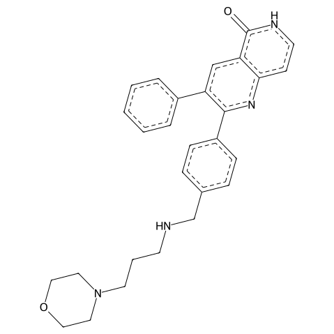 O=c1[nH]ccc2nc(-c3ccc(CNCCCN4CCOCC4)cc3)c(-c3ccccc3)cc12